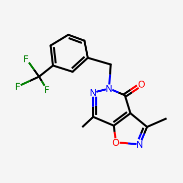 Cc1nn(Cc2cccc(C(F)(F)F)c2)c(=O)c2c(C)noc12